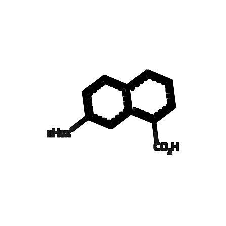 CCCCCCc1ccc2cccc(C(=O)O)c2c1